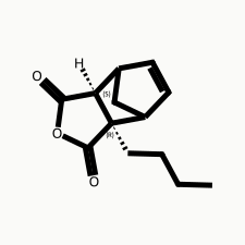 CCCC[C@]12C(=O)OC(=O)[C@H]1C1C=CC2C1